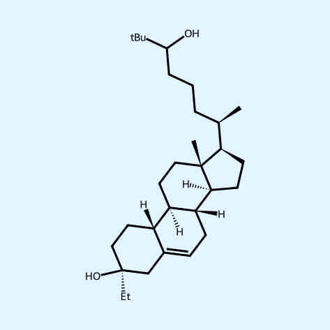 CC[C@]1(O)CC[C@H]2C(=CC[C@@H]3[C@@H]2CC[C@]2(C)[C@@H]([C@H](C)CCCC(O)C(C)(C)C)CC[C@@H]32)C1